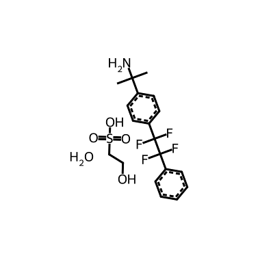 CC(C)(N)c1ccc(C(F)(F)C(F)(F)c2ccccc2)cc1.O.O=S(=O)(O)CCO